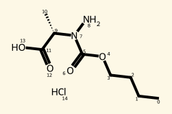 CCCCOC(=O)N(N)[C@@H](C)C(=O)O.Cl